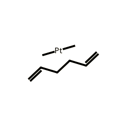 C=CCCC=C.[CH3][Pt][CH3]